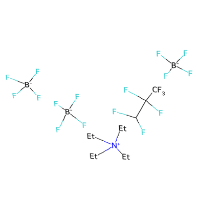 CC[N+](CC)(CC)CC.FC(F)C(F)(F)C(F)(F)F.F[B-](F)(F)F.F[B-](F)(F)F.F[B-](F)(F)F